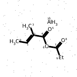 CC=C(C)C(=O)OC(=O)CC.[AlH3]